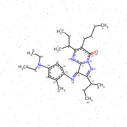 CCCCc1c(C(C)CC)nc2n(c1=O)N=C(C(C)CC)C2=Nc1ccc(N(CC)CC)cc1C